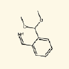 COC(OC)c1ccccc1C=N